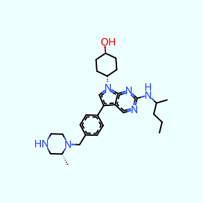 CCCC(C)Nc1ncc2c(-c3ccc(CN4CCNC[C@H]4C)cc3)cn([C@H]3CC[C@H](O)CC3)c2n1